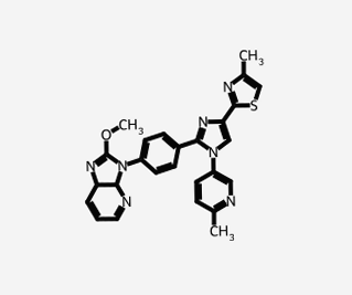 COC1=NC2C=CC=NC2N1c1ccc(-c2nc(-c3nc(C)cs3)cn2-c2ccc(C)nc2)cc1